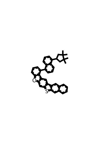 CC1(C)CC(c2cccc3c(-c4cccc5oc6cc7sc8cc9ccccc9cc8c7cc6c45)cccc23)CC1(C)C